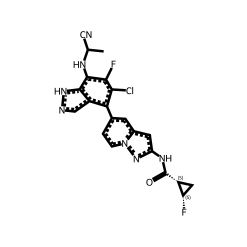 CC(C#N)Nc1c(F)c(Cl)c(-c2ccn3nc(NC(=O)[C@@H]4C[C@@H]4F)cc3c2)c2cn[nH]c12